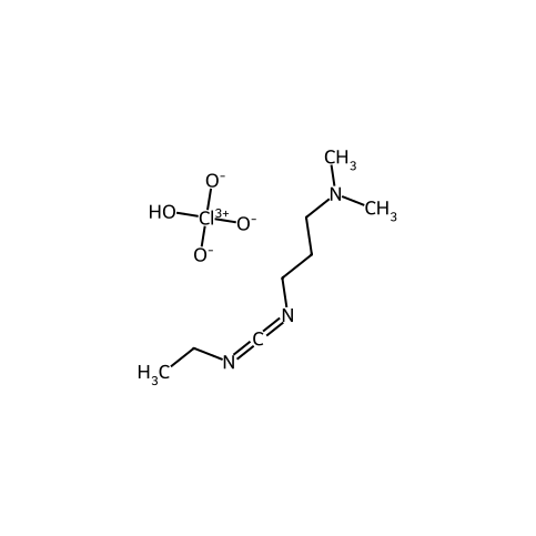 CCN=C=NCCCN(C)C.[O-][Cl+3]([O-])([O-])O